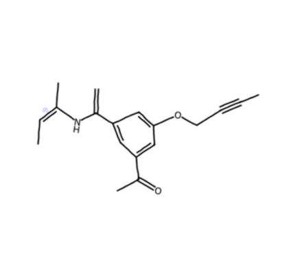 C=C(N/C(C)=C\C)c1cc(OCC#CC)cc(C(C)=O)c1